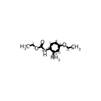 CCOC(=O)Nc1ccc(OCC)cc1N